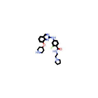 O=C(NCCN1CCCC1)c1ccc(Nc2ncc3cccc(OC4CCNCC4)c3n2)cc1F